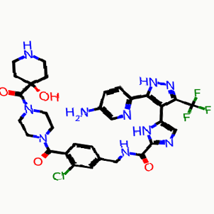 Nc1ccc(-c2[nH]nc(C(F)(F)F)c2-c2cnc(C(=O)NCc3ccc(C(=O)N4CCN(C(=O)C5(O)CCNCC5)CC4)c(Cl)c3)[nH]2)nc1